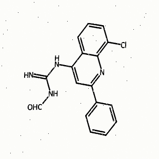 N=C(NC=O)Nc1cc(-c2ccccc2)nc2c(Cl)cccc12